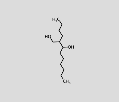 CCCCCCC(O)C(CO)CCCC